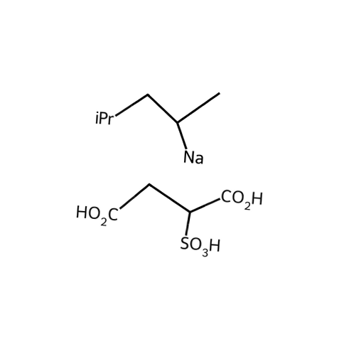 CC(C)C[CH](C)[Na].O=C(O)CC(C(=O)O)S(=O)(=O)O